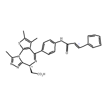 Cc1sc2c(c1C)C(c1ccc(NC(=O)/C=C/c3ccccc3)cc1)=N[C@@H](CC(=O)O)c1nnc(C)n1-2